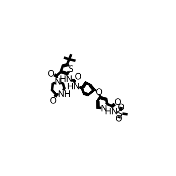 CC(C)(C)c1cc(C(=O)N2CCNC(=O)CC2)c(NC(=O)Nc2ccc(Oc3ccnc(C(=O)NS(C)(=O)=O)c3)cc2)s1